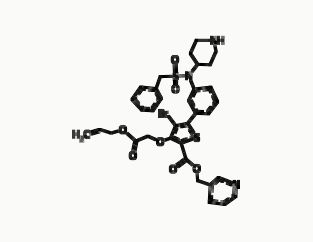 C=CCOC(=O)COc1c(C(=O)OCc2cccnc2)sc(-c2cccc(N(C3CCNCC3)S(=O)(=O)Cc3ccccc3)c2)c1Br